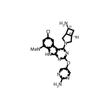 CNc1cc(Cl)cc2c1[nH]c1nc(Oc3cnc(N)nc3)nc(N3CC4[C@@H](C[C@@H]4N)C3)c12